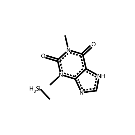 C[SiH3].Cn1c(=O)c2[nH]cnc2n(C)c1=O